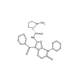 CN1CCC[C@H]1C(=O)Nc1sc2c(ccc(=O)n2-c2ccccc2)c1C(=O)c1ccccc1